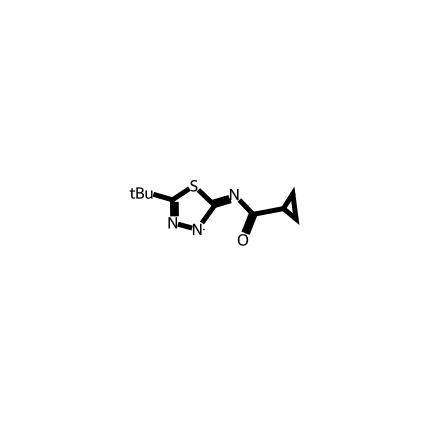 CC(C)(C)C1=N[N]C(=NC(=O)C2CC2)S1